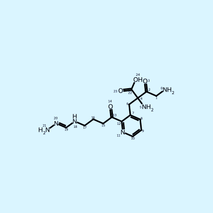 NCC(=O)C(N)(Cc1cccnc1C(=O)CCCNC=NN)C(=O)O